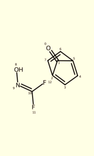 O=C1C2=CC=C1C=C2.ON=C(F)F